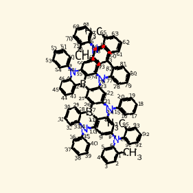 Cc1ccccc1N(c1cc2c3c(c1)N(c1ccccc1)c1cc4c(cc1B3c1ccccc1N2c1ccccc1)B1c2ccccc2N(c2ccccc2)c2cc(N(c3ccccc3C)c3ccccc3C)cc(c21)N4c1ccccc1-c1ccccc1)c1ccccc1C